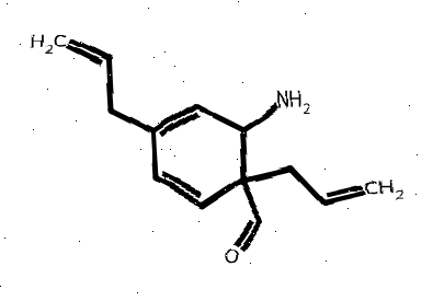 C=CCC1=CC(N)C(C=O)(CC=C)C=C1